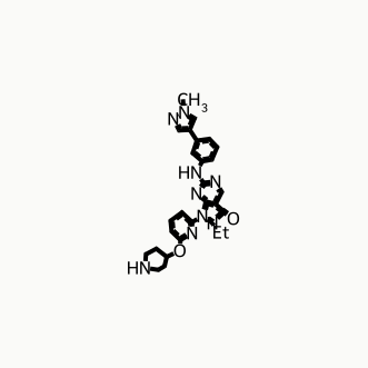 CCn1c(=O)c2cnc(Nc3cccc(-c4cnn(C)c4)c3)nc2n1-c1cccc(OC2CCNCC2)n1